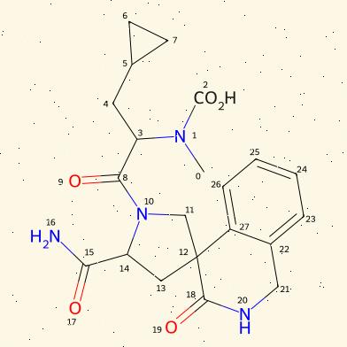 CN(C(=O)O)C(CC1CC1)C(=O)N1CC2(CC1C(N)=O)C(=O)NCc1ccccc12